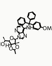 COc1ccc(C(Nc2ncnc3c2ncn3[C@@H]2O[C@H]([C@H](C)O)[C@H]3OC(C)O[C@]32C)(c2ccccc2)c2ccccc2)cc1